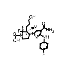 N#C[C@]1(CCCO)[C@@H](n2cc(C(N)=O)c(Nc3ccc(F)cc3)n2)CCN(C(=O)O)C1(F)F